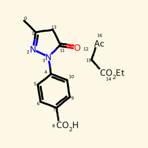 CC1=NN(c2ccc(C(=O)O)cc2)C(=O)C1.CCOC(=O)CC(C)=O